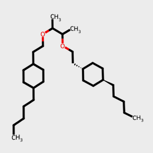 CCCCCC1CCC(CCOC(C)C(C)OCC[C@H]2CC[C@H](CCCCC)CC2)CC1